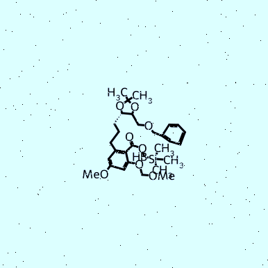 COCOc1cc(OC)cc(CCC[C@@H]2OC(C)(C)OC2COCc2ccccc2)c1C(=O)OB[Si](C)(C)C